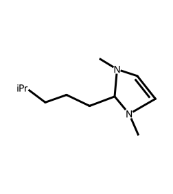 CC(C)CCCC1N(C)C=CN1C